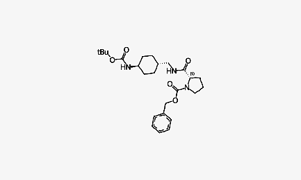 CC(C)(C)OC(=O)N[C@H]1CC[C@H](CNC(=O)[C@@H]2CCCN2C(=O)OCc2ccccc2)CC1